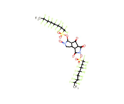 O=C1C2C(=O)N(OS(=O)(=O)C(F)(F)C(F)(F)C(F)(F)C(F)(F)C(F)(F)C(F)(F)C(F)(F)C(F)(F)F)C(=O)C2C2C[N+](=O)C(OS(=O)(=O)C(F)(F)C(F)(F)C(F)(F)C(F)(F)C(F)(F)C(F)(F)C(F)(F)C(F)(F)F)C12